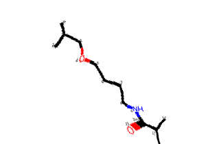 CC(C)COCCCCNC(=O)C(C)C